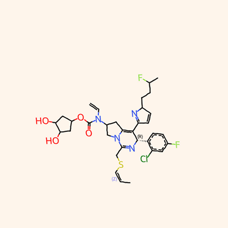 C=CN(C(=O)OC1CC(O)C(O)C1)C1CC2=C(C3=NC(CCC(C)F)C=C3)[C@H](c3ccc(F)cc3Cl)N=C(CS/C=C\C)N2C1